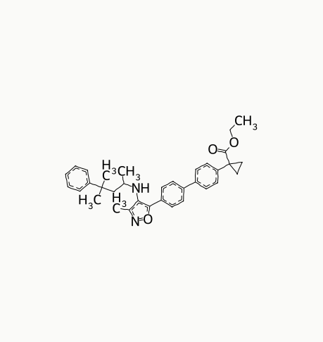 CCOC(=O)C1(c2ccc(-c3ccc(-c4onc(C)c4NC(C)CC(C)(C)c4ccccc4)cc3)cc2)CC1